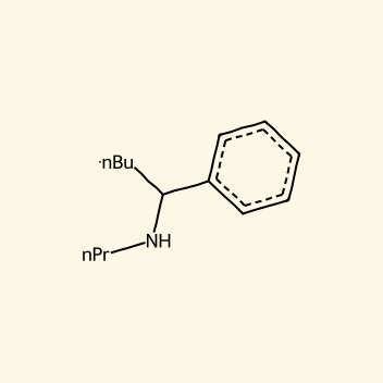 CCC[CH]C(NCCC)c1ccccc1